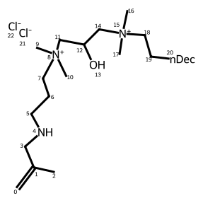 C=C(C)CNCCC[N+](C)(C)CC(O)C[N+](C)(C)CCCCCCCCCCCC.[Cl-].[Cl-]